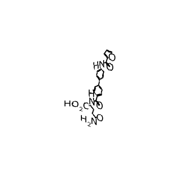 NC(=O)CC[C@H](NC(=O)c1ccc(-c2ccc(NC(=O)c3ccco3)cc2)cc1)C(=O)O